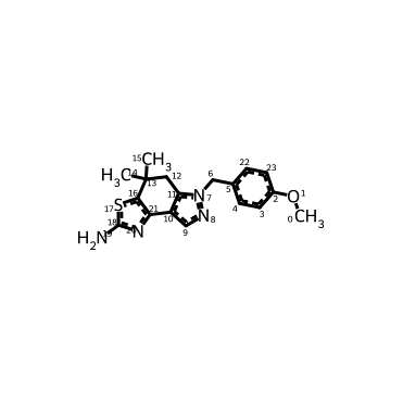 COc1ccc(Cn2ncc3c2CC(C)(C)c2sc(N)nc2-3)cc1